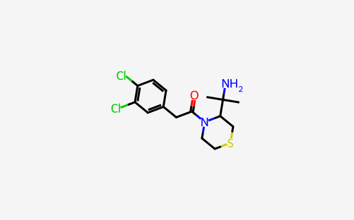 CC(C)(N)C1CSCCN1C(=O)Cc1ccc(Cl)c(Cl)c1